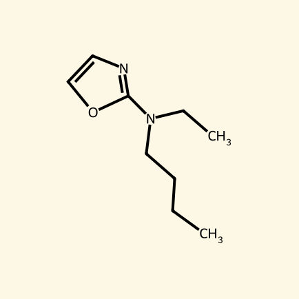 CCCCN(CC)c1ncco1